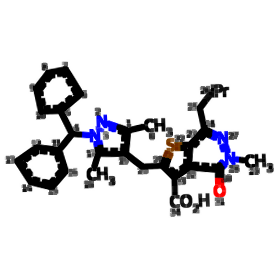 Cc1nn(C(c2ccccc2)c2ccccc2)c(C)c1Cc1sc2c(CC(C)C)nn(C)c(=O)c2c1C(=O)O